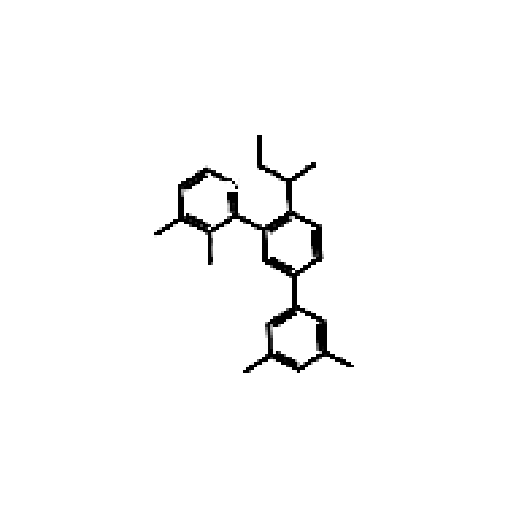 CCC(C)c1ccc(-c2cc(C)cc(C)c2)cc1-c1nccc(C)c1C